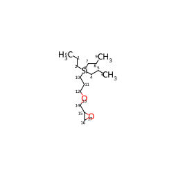 CCC[Si](CCC)(CCC)CCCOCC1CO1